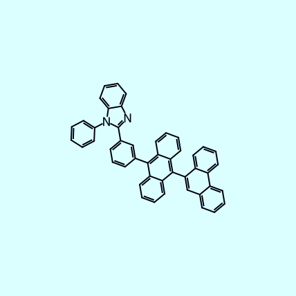 c1ccc(-n2c(-c3cccc(-c4c5ccccc5c(-c5cc6ccccc6c6ccccc56)c5ccccc45)c3)nc3ccccc32)cc1